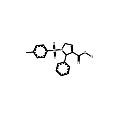 CCSC(=O)C1=CCN(S(=O)(=O)c2ccc(C)cc2)C1c1ccccc1